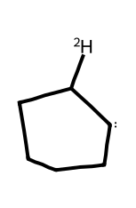 [2H]C1[C]CCCC1